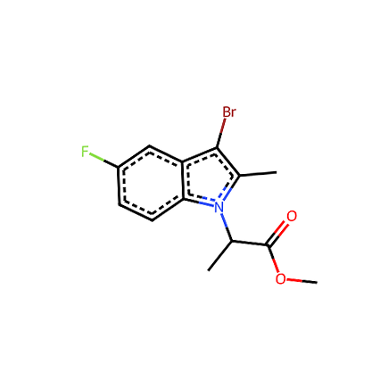 COC(=O)C(C)n1c(C)c(Br)c2cc(F)ccc21